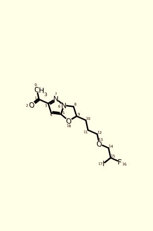 CC(=O)c1cc2n(n1)CC(CCCOCC(F)I)O2